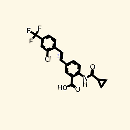 O=C(O)c1cc(/C=C/c2ccc(C(F)(F)F)cc2Cl)ccc1NC(=O)C1CC1